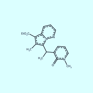 CCOC(=O)c1c(C)c(C(C)c2cccn(C)c2=O)n2ncccc12